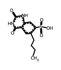 CCCCc1cc2c(=O)[nH]c(=O)[nH]c2cc1S(=O)(=O)O